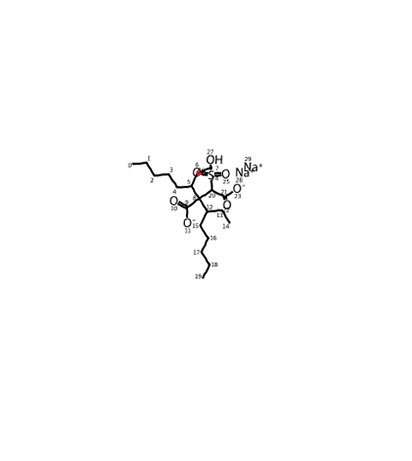 CCCCCC(CC)C(C(=O)[O-])(C(CC)CCCCC)C(C(=O)[O-])S(=O)(=O)O.[Na+].[Na+]